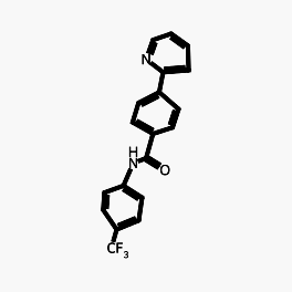 O=C(Nc1ccc(C(F)(F)F)cc1)c1ccc(-c2ccccn2)cc1